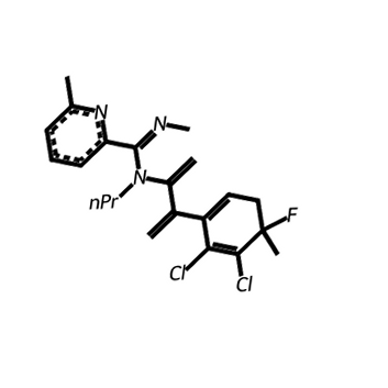 C=C(C(=C)N(CCC)/C(=N\C)c1cccc(C)n1)C1=CCC(C)(F)C(Cl)=C1Cl